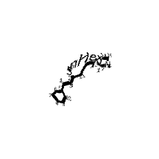 CCCCCCSC(C=Cc1ccccc1)CCn1ccnc1